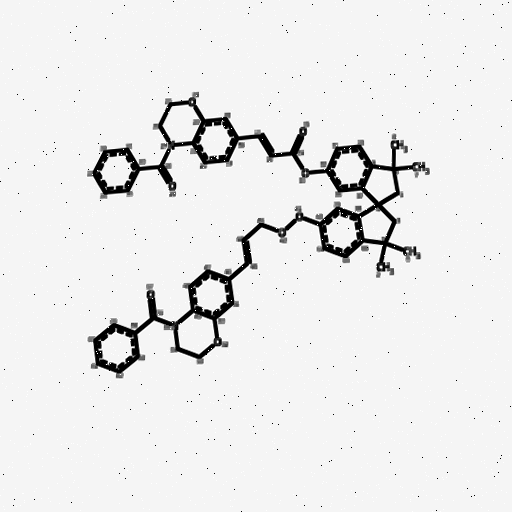 CC1(C)CC2(CC(C)(C)c3ccc(OC(=O)/C=C/c4ccc5c(c4)OCCN5C(=O)c4ccccc4)cc32)c2cc(OOC/C=C/c3ccc4c(c3)OCCN4C(=O)c3ccccc3)ccc21